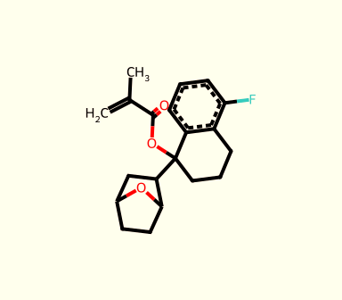 C=C(C)C(=O)OC1(C2CC3CCC2O3)CCCc2c(F)cccc21